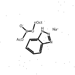 CCCCCCCCOB([O-])OC(C)=O.[Na+].c1ccc2[nH]nnc2c1